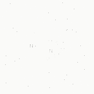 Cc1nc(Cl)cc(N(S(C)(=O)=O)S(C)(=O)=O)c1I